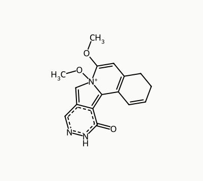 COC1=CC2=C(C=CCC2)C2=c3c(cn[nH]c3=O)=C[N+]12OC